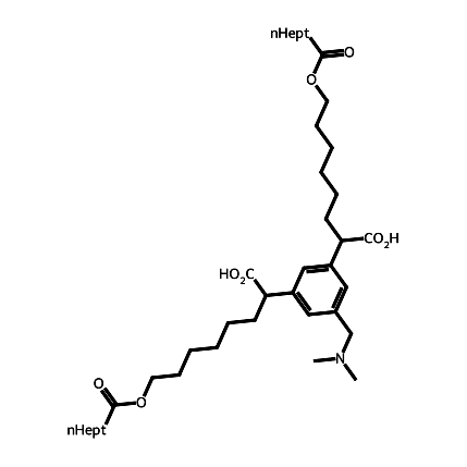 CCCCCCCC(=O)OCCCCCCC(C(=O)O)c1cc(CN(C)C)cc(C(CCCCCCOC(=O)CCCCCCC)C(=O)O)c1